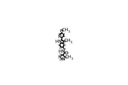 COc1ccc(-c2[nH]c3ccc(CNC(=O)c4cncnc4C)cc3c2C)nc1